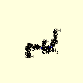 Nc1ccc2c(O)c(/N=N/c3ccc(C(=O)Nc4cccc(S(=O)(=O)CCOS(=O)(=O)O)c4)cc3)c(SOOO)cc2c1/N=N/c1ccc(S(=O)(=O)CCOSOOO)cc1